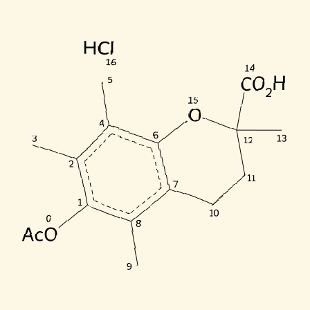 CC(=O)Oc1c(C)c(C)c2c(c1C)CCC(C)(C(=O)O)O2.Cl